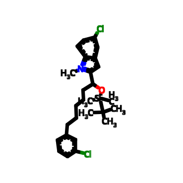 Cn1c(C(CCCCCc2cccc(Cl)c2)O[Si](C)(C)C(C)(C)C)cc2cc(Cl)ccc21